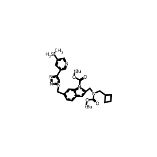 C[SiH2]c1cncc(-c2cn(Cc3ccc4cc(CN(CC5CCC5)C(=O)OC(C)(C)C)n(C(=O)OC(C)(C)C)c4c3)nn2)c1